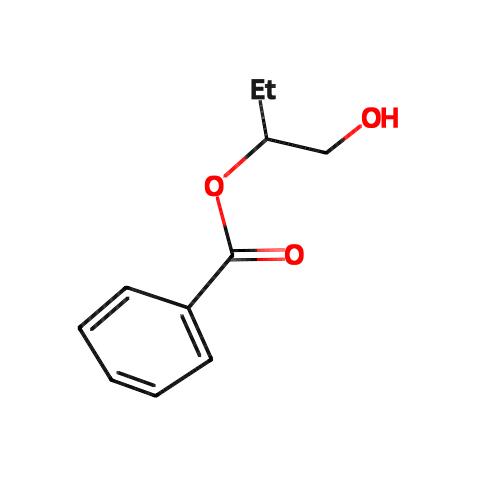 CCC(CO)OC(=O)c1ccccc1